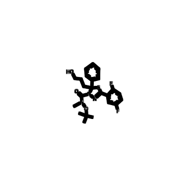 CN(OC(C)(C)C)C(=O)N1N=C(c2cc(F)ccc2F)SC1(CCCO)c1ccccc1